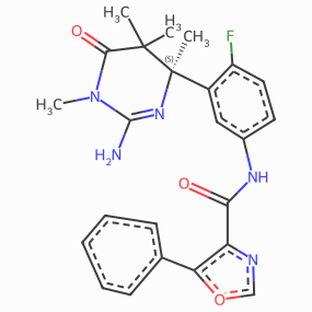 CN1C(=O)C(C)(C)[C@@](C)(c2cc(NC(=O)c3ncoc3-c3ccccc3)ccc2F)N=C1N